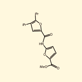 COC(=O)c1ccc(NC(=O)c2cc(C(C)C)c(C(C)C)o2)o1